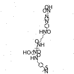 Cc1ncsc1-c1ccc(CCNC(=O)[C@@H]2C[C@@H](O)CN2C(=O)C(C)(C)[C@H](C)NC(=O)CCCCCNC(=O)c2ccc(N3CCN(CCN(C)C(=O)O)CC3)cc2)cc1